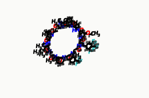 CCO[C@@H]1C[C@H]2C(=O)NC3(CCC3)C(=O)N(C)[C@@H](C3CCCC3)C(=O)N(C)[C@H](C(=O)N(C)CC)CC(=O)N(C)[C@@H](CC3CC3)C(=O)N[C@@H]([C@@H](C)CC)C(=O)N(C)CC(=O)N(C)[C@H]3C/C=C\CCN(C3=O)[C@@H](Cc3ccc(C(F)(F)F)cc3)C(=O)N(C)CC(=O)N[C@@H](CCc3cc(F)c(C(F)(F)F)c(F)c3)C(=O)N2C1